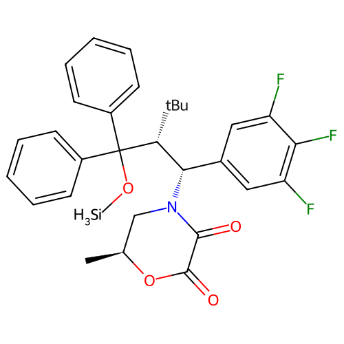 C[C@H]1CN([C@@H](c2cc(F)c(F)c(F)c2)[C@@H](C(C)(C)C)C(O[SiH3])(c2ccccc2)c2ccccc2)C(=O)C(=O)O1